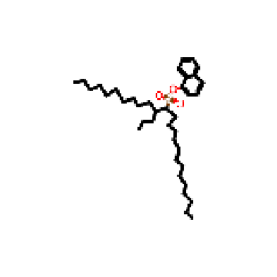 CCCCCCCCCCCCCC(C(CCC)CCCCCCCCCC)S(=O)(=O)Oc1cccc2ccccc12